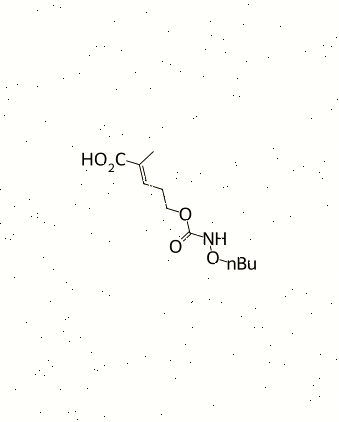 CCCCONC(=O)OCC/C=C(\C)C(=O)O